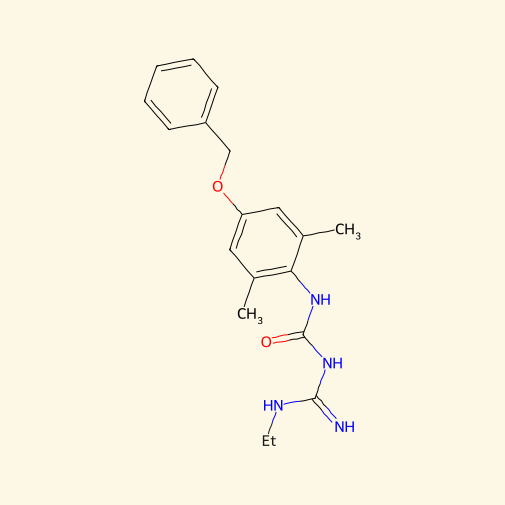 CCNC(=N)NC(=O)Nc1c(C)cc(OCc2ccccc2)cc1C